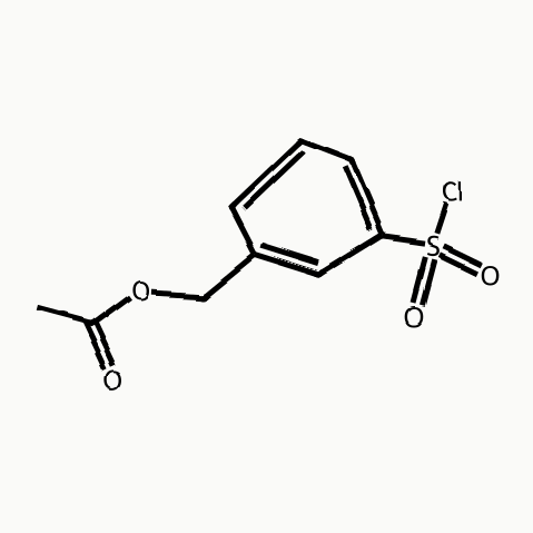 CC(=O)OCc1cccc(S(=O)(=O)Cl)c1